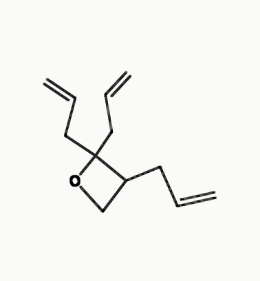 C=CCC1COC1(CC=C)CC=C